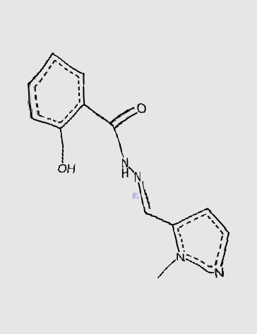 Cn1nccc1/C=N/NC(=O)c1ccccc1O